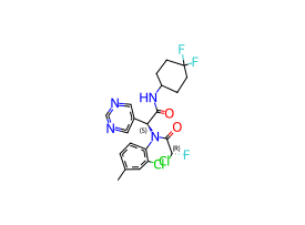 Cc1ccc(N(C(=O)[C@H](F)Cl)[C@H](C(=O)NC2CCC(F)(F)CC2)c2cncnc2)c(Cl)c1